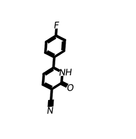 N#Cc1ccc(-c2ccc(F)cc2)[nH]c1=O